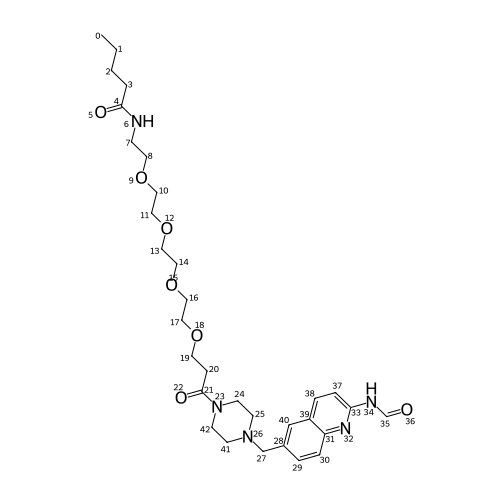 CCCCC(=O)NCCOCCOCCOCCOCCC(=O)N1CCN(Cc2ccc3nc(NC=O)ccc3c2)CC1